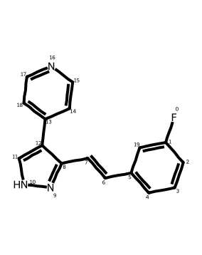 Fc1cccc(C=Cc2n[nH]cc2-c2ccncc2)c1